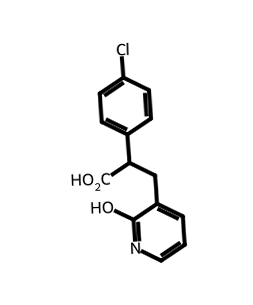 O=C(O)C(Cc1cccnc1O)c1ccc(Cl)cc1